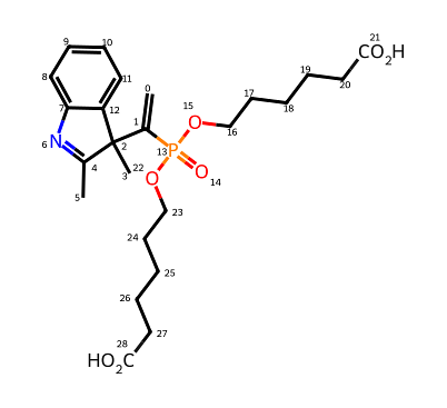 C=C(C1(C)C(C)=Nc2ccccc21)P(=O)(OCCCCCC(=O)O)OCCCCCC(=O)O